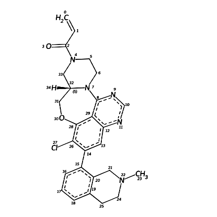 C=CC(=O)N1CCN2c3ncnc4cc(-c5cccc6c5CN(C)CC6)c(Cl)c(c34)OC[C@@H]2C1